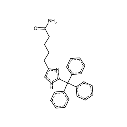 NC(=O)CCCCc1c[nH]c(C(c2ccccc2)(c2ccccc2)c2ccccc2)n1